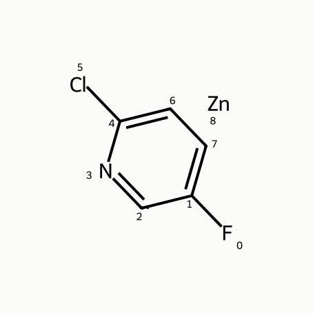 Fc1[c]nc(Cl)cc1.[Zn]